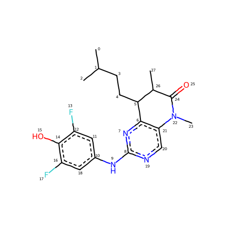 CC(C)CCC1c2nc(Nc3cc(F)c(O)c(F)c3)ncc2N(C)C(=O)C1C